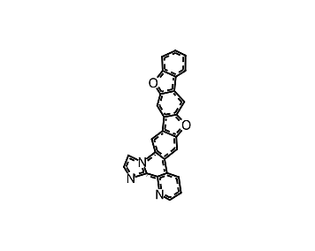 c1ccc2c(c1)oc1cc3c(cc12)oc1cc2c4cccnc4c4nccn4c2cc13